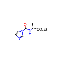 CCOC(=O)C(C)NC(=O)n1ccnc1